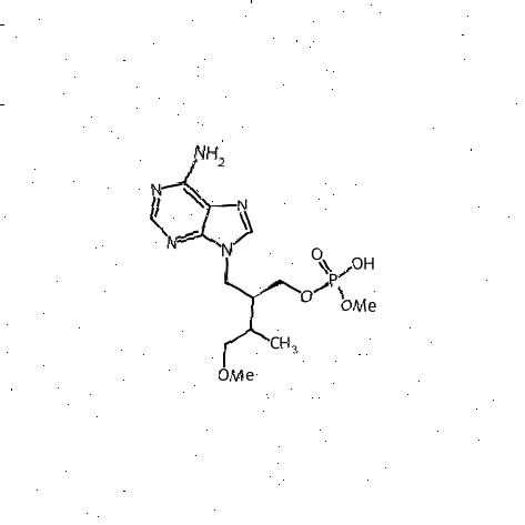 COCC(C)[C@H](COP(=O)(O)OC)Cn1cnc2c(N)ncnc21